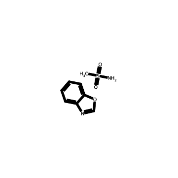 CS(N)(=O)=O.c1ccc2ocnc2c1